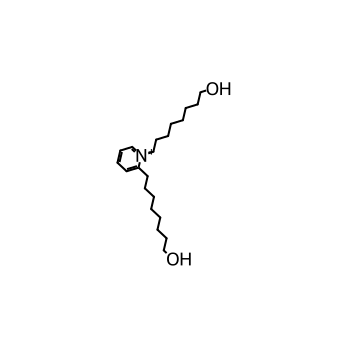 OCCCCCCCCc1cccc[n+]1CCCCCCCCO